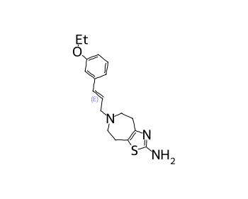 CCOc1cccc(/C=C/CN2CCc3nc(N)sc3CC2)c1